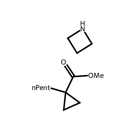 C1CNC1.CCCCCC1(C(=O)OC)CC1